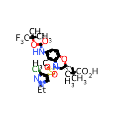 CCn1cc(S(=O)(=O)N2C[C@@H](CC(C)(C)C(=O)O)Oc3ccc(NC(=O)OC(C)(C)C(F)(F)F)c(C)c32)c(Cl)n1